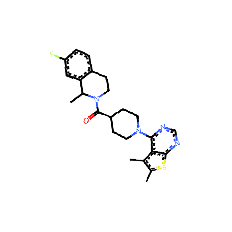 Cc1sc2ncnc(N3CCC(C(=O)N4CCc5ccc(F)cc5C4C)CC3)c2c1C